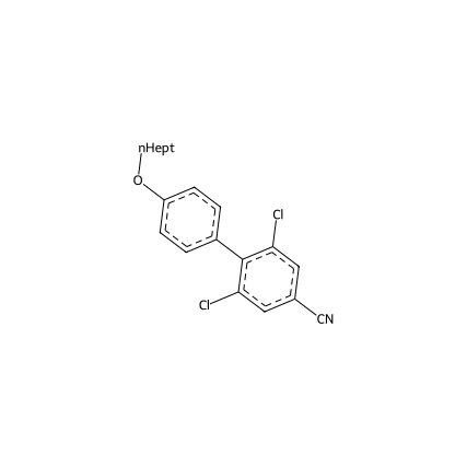 CCCCCCCOc1ccc(-c2c(Cl)cc(C#N)cc2Cl)cc1